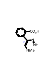 CN/C=C(\N=N)c1ccccc1C(=O)O